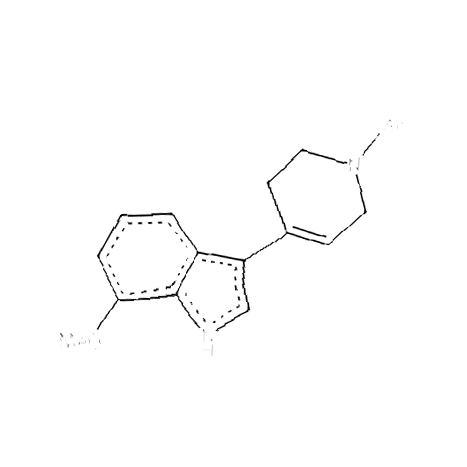 COc1cccc2c(C3=CCN(C(C)=O)CC3)c[nH]c12